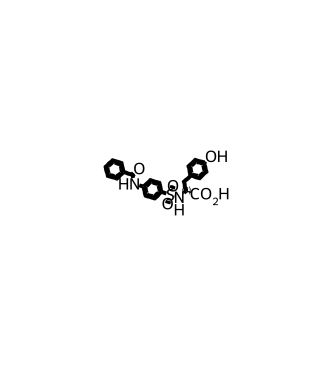 O=C(Nc1ccc(S(=O)(=O)N[C@H](Cc2ccc(O)cc2)C(=O)O)cc1)c1ccccc1